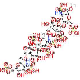 CCOC[C@H]1OC(COS(=O)(=O)O)[C@@H](O[C@@H]2OC(C(=O)O)[C@@H](COC[C@H]3OC(COS(=O)(=O)O)[C@@H](O[C@@H]4OC(C(=O)O)[C@@H](COC[C@H]5OC(COS(=O)(=O)O)[C@@H](O)[C@@H](O)C5NS(=O)(=O)O)[C@@H](O)C4O)[C@@H](OS(=O)(=O)O)C3NS(=O)(=O)O)[C@@H](O)C2OS(=O)(=O)O)[C@@H](O)C1NS(=O)(=O)O